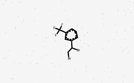 FC(F)(F)c1cccc(C(Br)CBr)c1